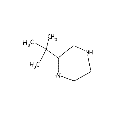 CC(C)(C)C1CNCC[N]1